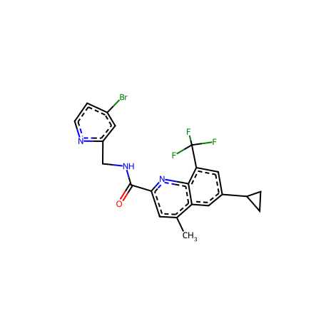 Cc1cc(C(=O)NCc2cc(Br)ccn2)nc2c(C(F)(F)F)cc(C3CC3)cc12